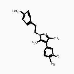 Cc1nn(CCc2ccc(C(=O)O)cc2)c(C)c1-c1ccc(C#N)c(Cl)c1